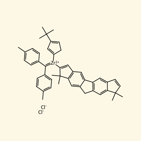 Cc1ccc([C](c2ccc(C)cc2)=[Zr+2]([C]2=CC(C(C)(C)C)=CC2)[C]2=Cc3cc4c(cc3C2(C)C)Cc2cc3c(cc2-4)C=CC3(C)C)cc1.[Cl-].[Cl-]